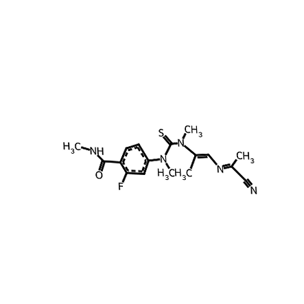 CNC(=O)c1ccc(N(C)C(=S)N(C)/C(C)=C/N=C(\C)C#N)cc1F